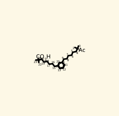 CC(=O)C(C)(C)CCCCCCc1cccc(CCCCCCC(C)(C)C(=O)O)c1